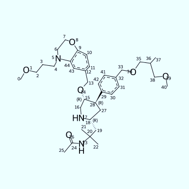 COCCCN1CCOc2ccc(CO[C@H]3CN[C@@H](CC(C)(C)NC(C)=O)C[C@@H]3c3ccc(COCC(C)COC)cc3)cc21